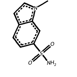 Cn1ccc2ccc(S(N)(=O)=O)cc21